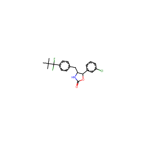 CC(C)(C)C(F)(F)c1ccc(CC2NC(=O)OC2c2cccc(Cl)c2)cc1